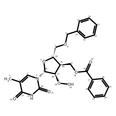 Cc1cn([C@@H]2O[C@H](COCc3ccccc3)[C@@H](COC(=O)c3ccccc3)[C@H]2OO)c(=O)[nH]c1=O